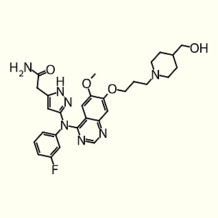 COc1cc2c(N(c3cccc(F)c3)c3cc(CC(N)=O)[nH]n3)ncnc2cc1OCCCN1CCC(CO)CC1